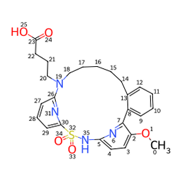 COc1ccc2nc1-c1ccccc1CCCCCN(CCCC(=O)O)c1cccc(n1)S(=O)(=O)N2